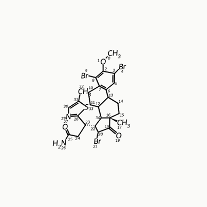 COc1c(Br)cc2c(c1Br)CCC1C2CC[C@]2(C)C(=O)C(Br)[C@H](C(CC(N)=O)c3ncc(C)s3)C12